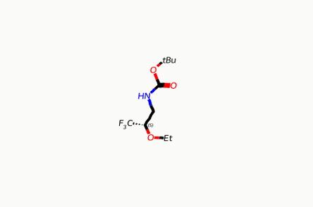 CCO[C@@H](CNC(=O)OC(C)(C)C)C(F)(F)F